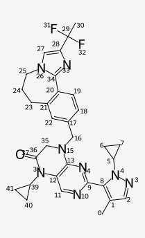 Cc1cnn(C2CC2)c1-c1ncc2c(n1)N(Cc1ccc3c(c1)CCCn1cc(C(C)(F)F)nc1-3)CC(=O)N2C1CC1